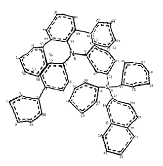 c1ccc(-c2ccc(N(c3cccc([Si](c4ccccc4)(c4ccccc4)c4ccc5ccccc5c4)c3)c3c(-c4ccccc4)cccc3-c3ccccc3)cc2)cc1